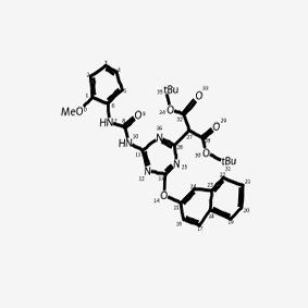 COc1ccccc1NC(=O)Nc1nc(Oc2ccc3ccccc3c2)nc(C(C(=O)OC(C)(C)C)C(=O)OC(C)(C)C)n1